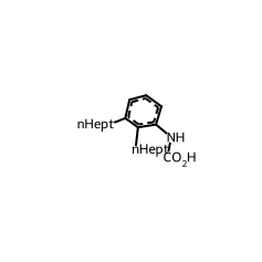 CCCCCCCc1cccc(NC(=O)O)c1CCCCCCC